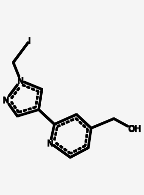 OCc1ccnc(-c2cnn(CI)c2)c1